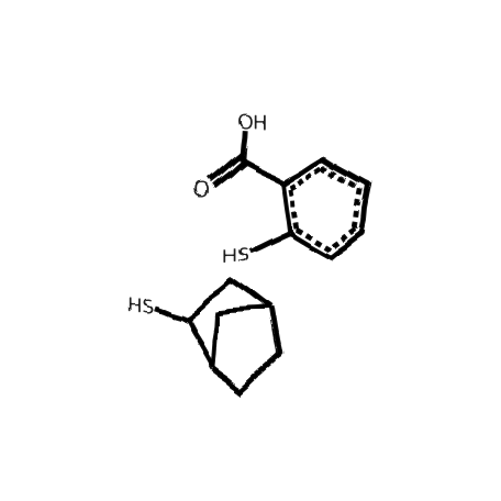 O=C(O)c1ccccc1S.SC1CC2CCC1C2